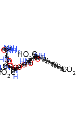 NN[C@@H](CCCCNC(=O)CC[C@H](NC(=O)CC[C@H](NC(=O)COCCOCCNC(=O)CCCC[C@H](NC(=O)CCCCCCCCCCCCCCCCC(=O)O)C(=O)O)C(=O)O)C(=O)O)C(N)=O